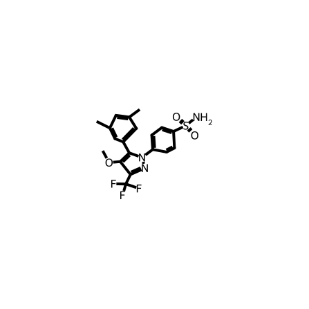 COc1c(C(F)(F)F)nn(-c2ccc(S(N)(=O)=O)cc2)c1-c1cc(C)cc(C)c1